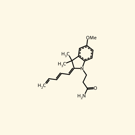 C=C/C=C/C=C1/N(CCC(N)=O)c2ccc(OC)cc2C1(C)C